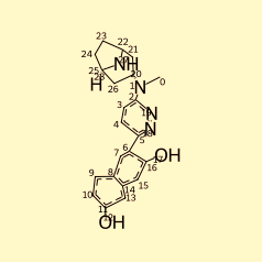 CN(c1ccc(-c2cc3ccc(O)cc3cc2O)nn1)[C@H]1CC2CC[C@H](C1)N2